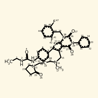 CCNC(=O)Nc1ccc(-c2sc3c(c2CN(C)CCCN2CCCC2=O)c(=O)n(-c2ccccc2)c(=O)n3Cc2c(F)cccc2F)cc1